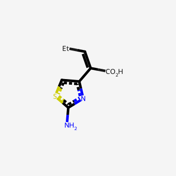 CC/C=C(/C(=O)O)c1csc(N)n1